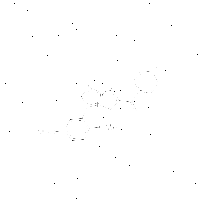 C=C(c1ccc(F)cc1)c1cn2c(-c3cc(OC)ccc3OC)csc2n1